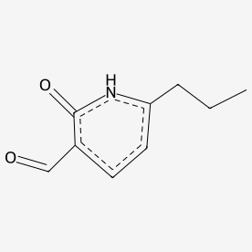 CCCc1ccc(C=O)c(=O)[nH]1